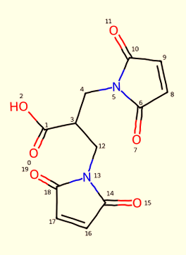 O=C(O)C(CN1C(=O)C=CC1=O)CN1C(=O)C=CC1=O